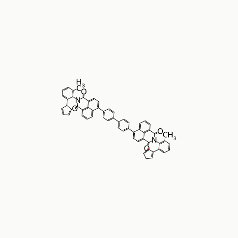 Cc1cccc(C2=CCC=C2)c1N1C(=O)c2cccc3c(-c4ccc(-c5ccc(-c6ccc7c8c(cccc68)C(=O)N(c6c(C)cccc6C6C=CC=C6)C7=O)cc5)cc4)ccc(c23)C1=O